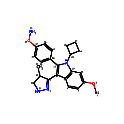 CCOc1ccc2c(C3=NNCC3C)c(-c3ccc(ON)cc3)n(C3CCC3)c2c1